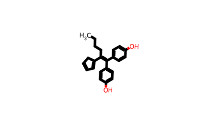 CCCCC(C1=CC=CC1)=C(c1ccc(O)cc1)c1ccc(O)cc1